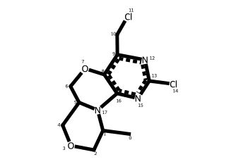 CC1COCC2COc3c(CCl)nc(Cl)nc3N12